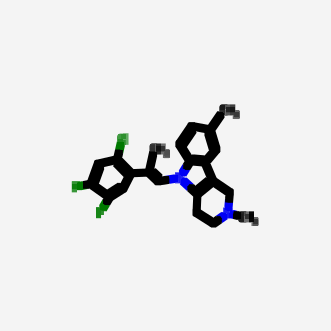 CC(=Cn1c2c(c3cc(C)ccc31)CN(C)CC2)c1cc(F)c(F)cc1Cl